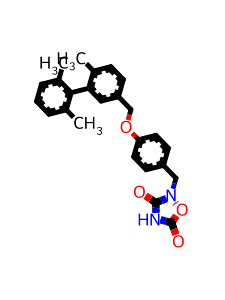 Cc1ccc(COc2ccc(Cn3oc(=O)[nH]c3=O)cc2)cc1-c1c(C)cccc1C